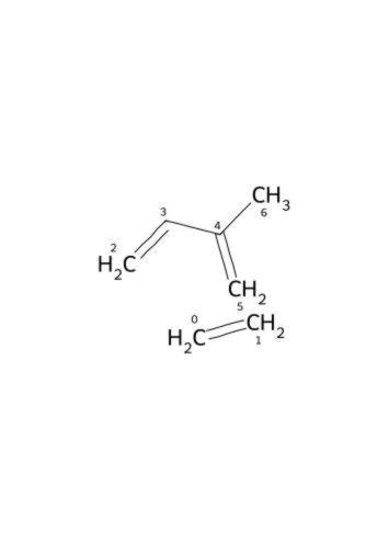 C=C.C=CC(=C)C